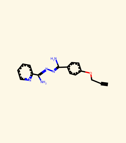 C#CCOc1ccc(/C(N)=N/N=C(\N)c2ccccn2)cc1